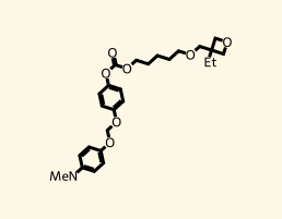 CCC1(COCCCCCOC(=O)Oc2ccc(OCOc3ccc(NC)cc3)cc2)COC1